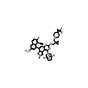 C#Cc1c(F)ccc2cc(N)cc(-c3cc4nc(OCC5(CN6CCC7(CC6)CC7(F)F)CC5)nc(N5C[C@H]6CC[C@@H](C5)N6)c4c4cn(C)nc34)c12